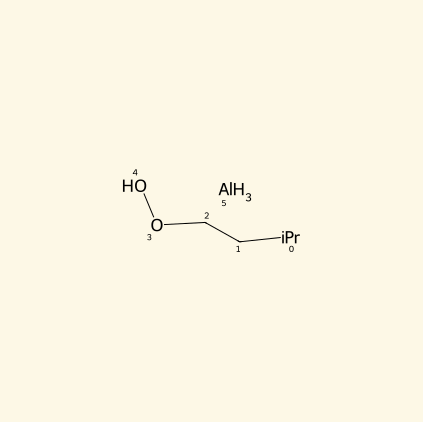 CC(C)CCOO.[AlH3]